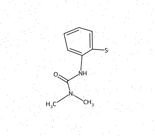 CN(C)C(=O)Nc1ccccc1[S]